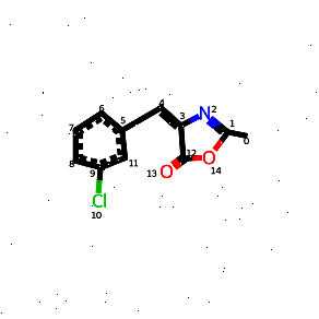 CC1=NC(=Cc2cccc(Cl)c2)C(=O)O1